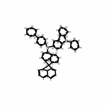 C1=CC2=CC=CC3C2C(=C1)C31c2cccc3c(N(c4ccc(-c5ccccc5)cc4)c4ccc5c(c4)c4ccccc4n5-c4ccccc4)ccc1c23